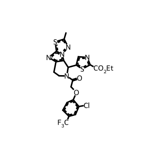 CCOC(=O)c1ncc(C2c3c(nc4sc(C)nn34)CCN2C(=O)COc2ccc(C(F)(F)F)cc2Cl)s1